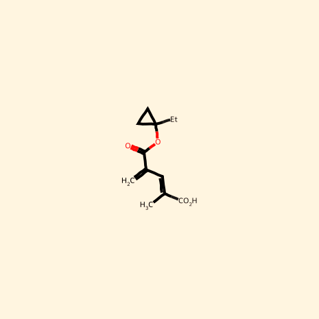 C=C(C=C(C)C(=O)O)C(=O)OC1(CC)CC1